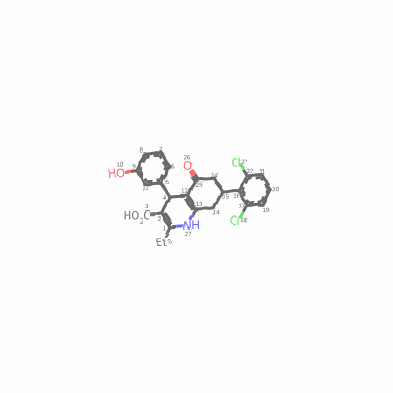 CCC1=C(C(=O)O)C(c2cccc(O)c2)C2=C(CC(c3c(Cl)cccc3Cl)CC2=O)N1